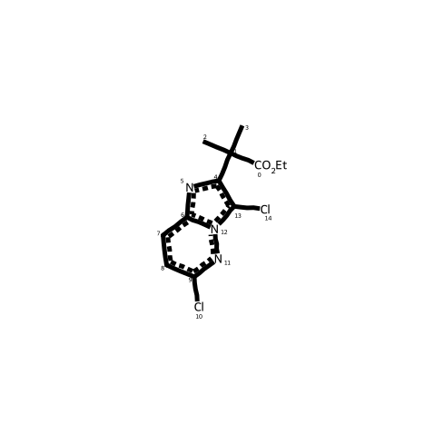 CCOC(=O)C(C)(C)c1nc2ccc(Cl)nn2c1Cl